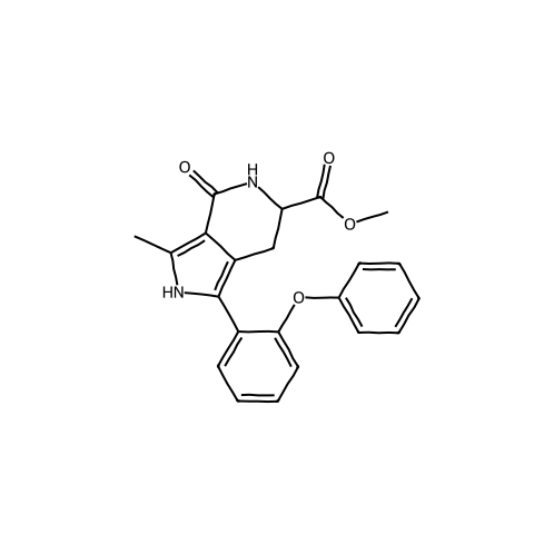 COC(=O)C1Cc2c(-c3ccccc3Oc3ccccc3)[nH]c(C)c2C(=O)N1